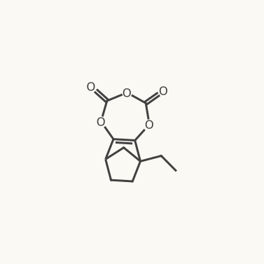 CCC12CCC(C1)C1=C2OC(=O)OC(=O)O1